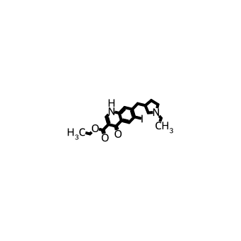 CCOC(=O)c1c[nH]c2cc(CC3CCN(CC)C3)c(I)cc2c1=O